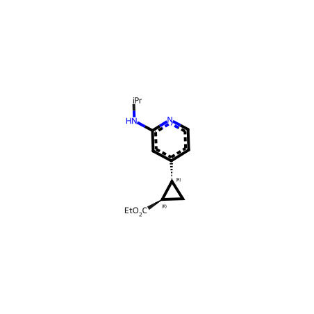 CCOC(=O)[C@@H]1C[C@H]1c1ccnc(NC(C)C)c1